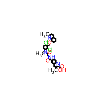 Cc1ccc2cccc(OCc3c(Cl)ccc(N(C)C(=O)CNC(=O)c4ccc5nc(C(=O)O)c(C)cc5c4)c3Cl)c2n1